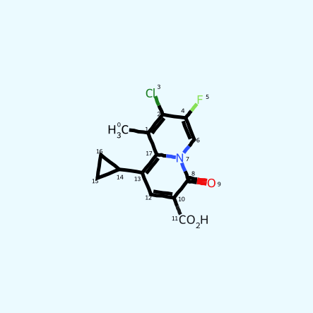 Cc1c(Cl)c(F)cn2c(=O)c(C(=O)O)cc(C3CC3)c12